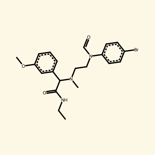 CCNC(=O)C(c1cccc(OC)c1)N(C)CCN(C=O)c1ccc(Br)cc1